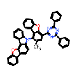 FC(F)(F)c1cc(-c2nc(-c3ccccc3)nc(-c3ccccc3)n2)c2oc3ccccc3c2c1-n1c2ccccc2c2c3oc4ccccc4c3ccc21